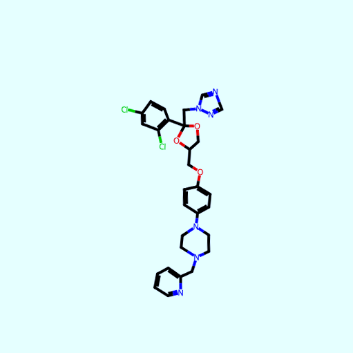 Clc1ccc(C2(Cn3cncn3)OCC(COc3ccc(N4CCN(Cc5ccccn5)CC4)cc3)O2)c(Cl)c1